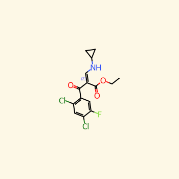 CCOC(=O)/C(=C\NC1CC1)C(=O)c1cc(F)c(Cl)cc1Cl